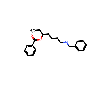 CCC(CCCCNCc1ccccc1)OC(=O)c1ccccc1